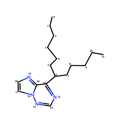 CCCCCCC(CCCCC)c1ncnn2ccnc12